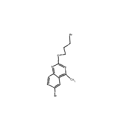 Cc1nc(OCCCC(C)C)nc2ccc(Br)cc12